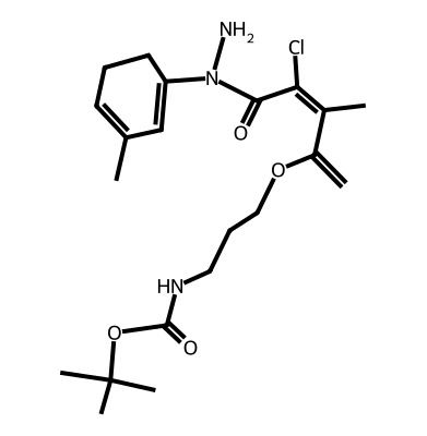 C=C(OCCCNC(=O)OC(C)(C)C)/C(C)=C(/Cl)C(=O)N(N)C1=CC(C)=CCC1